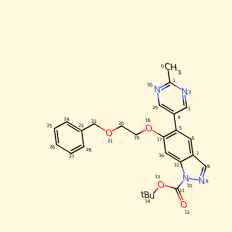 Cc1ncc(-c2cc3cnn(C(=O)OC(C)(C)C)c3cc2OCCOCc2ccccc2)cn1